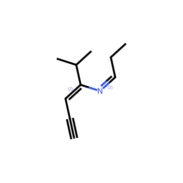 C#C/C=C(\N=C/CC)C(C)C